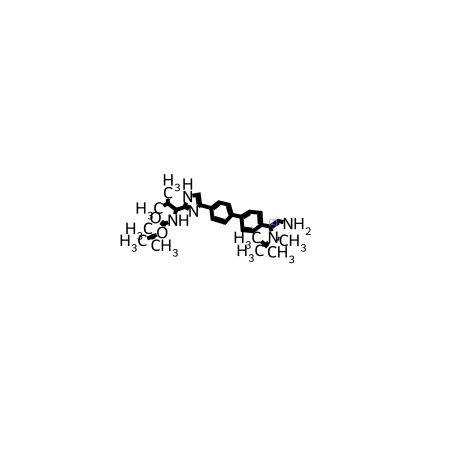 CC(C)C(NC(=O)OC(C)(C)C)c1nc(-c2ccc(-c3ccc(/C(=C/N)N(C)C(C)(C)C)cc3)cc2)c[nH]1